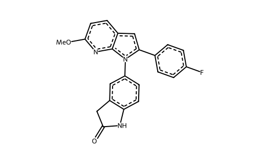 COc1ccc2cc(-c3ccc(F)cc3)n(-c3ccc4c(c3)CC(=O)N4)c2n1